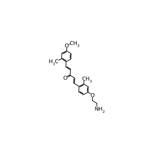 COc1ccc(/C=C/C(=O)/C=C/c2ccc(OCCN)cc2C)c(C)c1